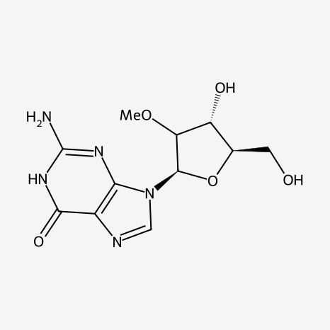 [CH2]OC1[C@H](n2cnc3c(=O)[nH]c(N)nc32)O[C@H](CO)[C@H]1O